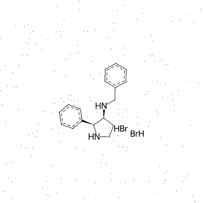 Br.Br.c1ccc(CN[C@H]2CCN[C@H]2c2ccccc2)cc1